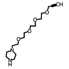 C#CCOCCOCCOCCOCCN1CCNCC1